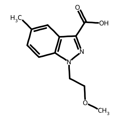 COCCn1nc(C(=O)O)c2cc(C)ccc21